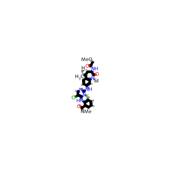 CCN1C(=O)C(NC(=O)COC)CC(C)(C)c2ccc(Nc3ncc(Cl)c(Nc4c(F)cccc4C(=O)NC)n3)cc21